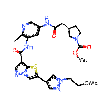 COCCn1cc(-c2cn3ncc(C(=O)Nc4cc(NC(=O)C[C@H]5CCN(C(=O)OC(C)(C)C)C5)cnc4C)c3s2)cn1